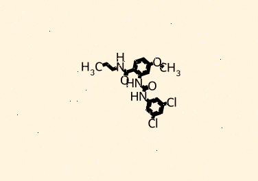 CCCNC(=O)c1ccc(OC)cc1NC(=O)Nc1cc(Cl)cc(Cl)c1